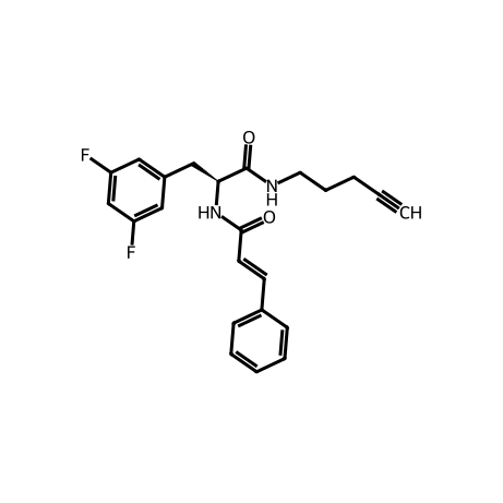 C#CCCCNC(=O)[C@H](Cc1cc(F)cc(F)c1)NC(=O)/C=C/c1ccccc1